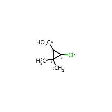 CC1(C)C(Cl)C1C(=O)O